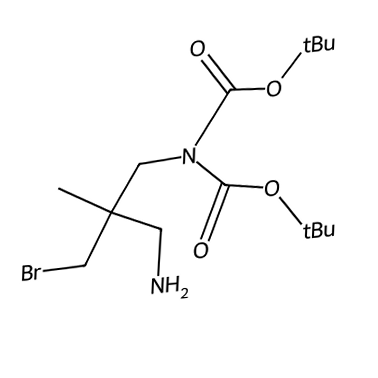 CC(CN)(CBr)CN(C(=O)OC(C)(C)C)C(=O)OC(C)(C)C